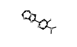 CN(C)c1cnc(-c2cn3cccnc3n2)cc1I